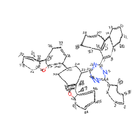 C1=CCC(c2nc(C3=CC4CCC=CC4C4=C3CCC=C4)nc(C3CC(C4=C5OC6=C(C=CCC6)C5CC=C4)Cc4oc5ccccc5c43)n2)C=C1